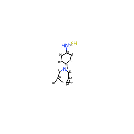 SN[C@H]1CC[C@H](N(CC2CC2)CC2CC2)CC1